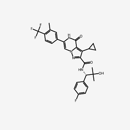 Cc1cc(-c2cn3nc(C(=O)N[C@@H](c4ccc(F)cc4)C(C)(C)O)c(C4CC4)c3c(=O)[nH]2)ccc1C(F)(F)F